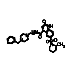 CC1CCCCN1S(=O)(=O)c1ccc2[nH]c(=O)cc(C(=O)NCCN3CCN(Cc4ccccc4)CC3)c2c1